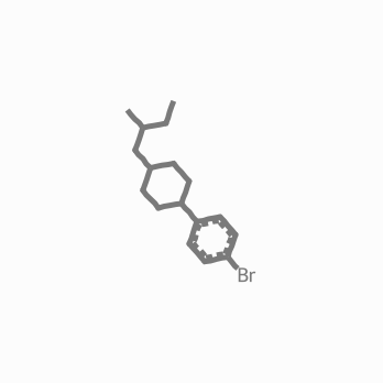 CCC(C)CC1CCC(c2ccc(Br)cc2)CC1